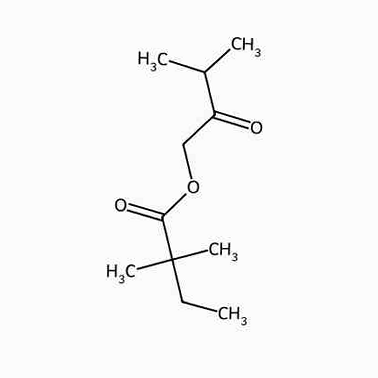 CCC(C)(C)C(=O)OCC(=O)C(C)C